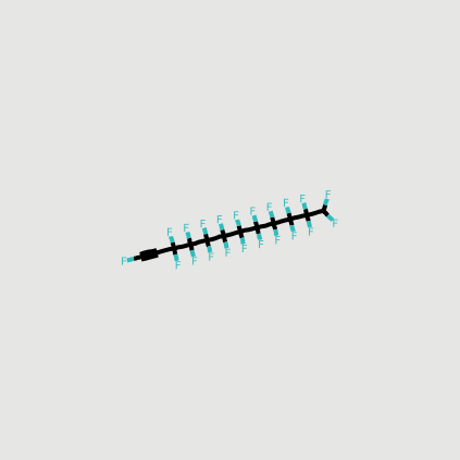 FC#CC(F)(F)C(F)(F)C(F)(F)C(F)(F)C(F)(F)C(F)(F)C(F)(F)C(F)(F)C(F)(F)[C](F)F